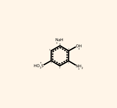 Nc1cc(S(=O)(=O)O)ccc1O.[NaH]